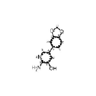 Nc1ncc(-c2ccc3c(c2)OCO3)cc1O